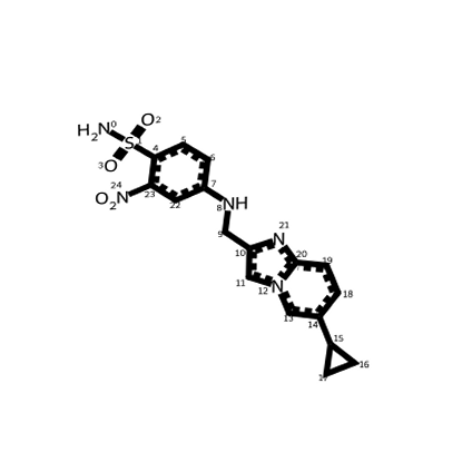 NS(=O)(=O)c1ccc(NCc2cn3cc(C4CC4)ccc3n2)cc1[N+](=O)[O-]